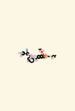 CC(C)CC(=O)SCCOP(=O)(OCOC(=O)OC(C)C)C(F)(F)c1ccc2ccc(C(=O)N[C@H]3CCCC[C@H]4CC[C@@H](C(=O)N5C[C@H](c6cc[nH]c(=O)c6)[C@@H](C#N)C5)N4C3=O)cc2c1